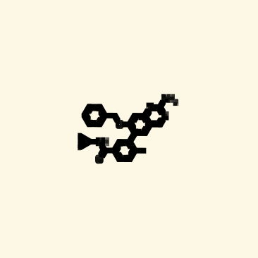 Cc1ccc(C(=O)NC2CC2)cc1-c1cc2cnc(N)nc2cc1OCc1ccccc1